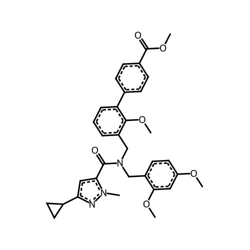 COC(=O)c1ccc(-c2cccc(CN(Cc3ccc(OC)cc3OC)C(=O)c3cc(C4CC4)nn3C)c2OC)cc1